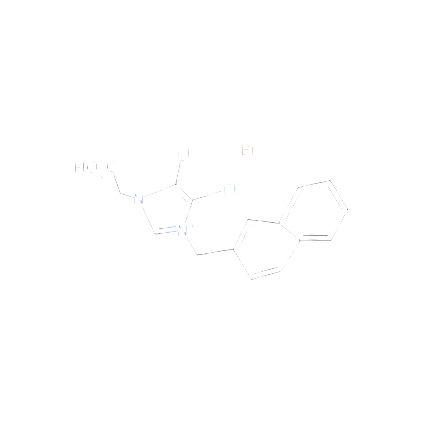 O=C(O)Cn1c[n+](Cc2ccc3ccccc3c2)c(Cl)c1Cl.[Br-]